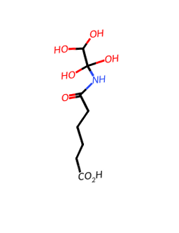 O=C(O)CCCCC(=O)NC(O)(O)C(O)O